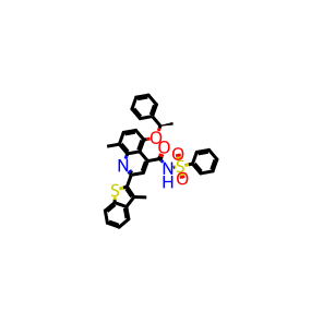 Cc1c(-c2cc(C(=O)NS(=O)(=O)c3ccccc3)c3c(O[C@H](C)c4ccccc4)ccc(C)c3n2)sc2ccccc12